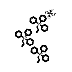 C=CC[P+](c1ccccc1)(c1ccccc1)c1ccccc1.C=CC[P+](c1ccccc1)(c1ccccc1)c1ccccc1.C=CC[P+](c1ccccc1)(c1ccccc1)c1ccccc1.O=P([O-])([O-])[O-]